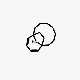 C1=CC23CCCCCCCC(C=C1)(CC2)N3